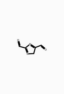 O=CC1=NC(C=O)=NC1